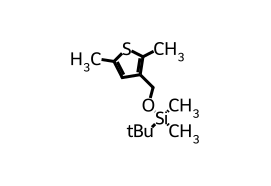 Cc1cc(CO[Si](C)(C)C(C)(C)C)c(C)s1